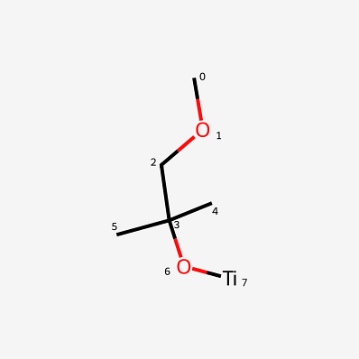 COCC(C)(C)[O][Ti]